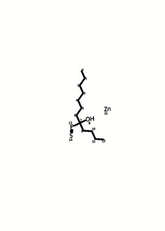 CCCCCCCC(O)(CCCC)P=S.[Zn]